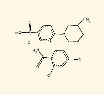 CC1CCCN(c2ccc(S(=O)(=O)O)cn2)C1.NC(=O)c1ccc(Cl)cc1Cl